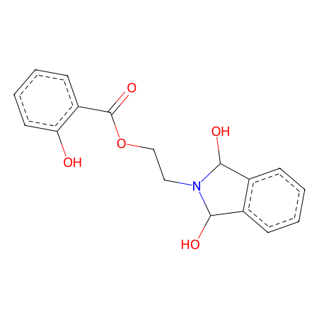 O=C(OCCN1C(O)c2ccccc2C1O)c1ccccc1O